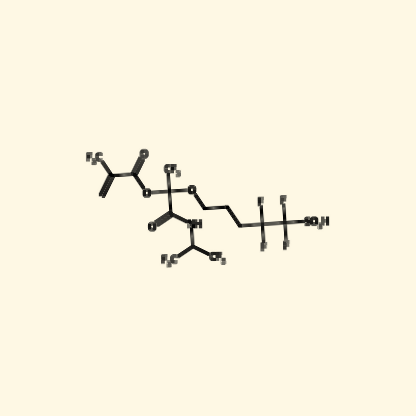 C=C(C(=O)OC(OCCCC(F)(F)C(F)(F)S(=O)(=O)O)(C(=O)NC(C(F)(F)F)C(F)(F)F)C(F)(F)F)C(F)(F)F